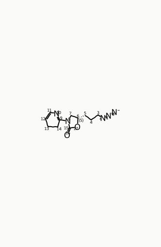 [N-]=[N+]=NCCC[C@H]1CN(C2=NC=CCC2)C(=O)O1